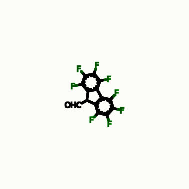 O=CC1c2c(F)c(F)c(F)c(F)c2-c2c(F)c(F)c(F)c(F)c21